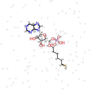 O=P(O)(O)OC(OCCCCCC=S)[C@H]1O[C@@H](n2cnc3cncnc32)[C@H](O)[C@@H]1O